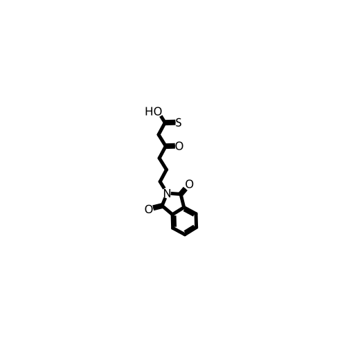 O=C(CCCN1C(=O)c2ccccc2C1=O)CC(O)=S